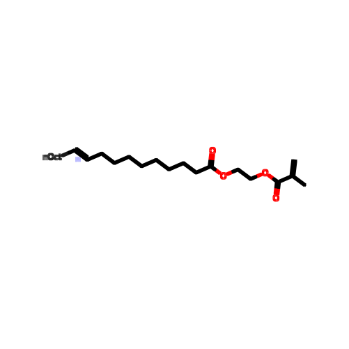 C=C(C)C(=O)OCCOC(=O)CCCCCCCC/C=C/CCCCCCCC